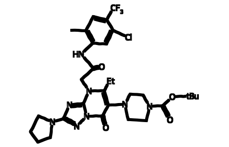 CCc1c(N2CCN(C(=O)OC(C)(C)C)CC2)c(=O)n2nc(N3CCCC3)nc2n1CC(=O)Nc1cc(Cl)c(C(F)(F)F)cc1C